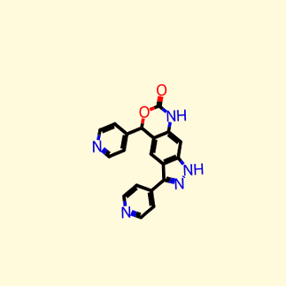 O=C1Nc2cc3[nH]nc(-c4ccncc4)c3cc2C(c2ccncc2)O1